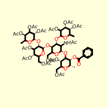 CC(=O)NC1[C@H](OC2[C@@H](OC(C)=O)C(COC(C)=O)O[C@@H](C)[C@H]2OC(=O)c2ccccc2)OC(COC(C)=O)[C@@H](O[C@@H]2OC(COC(C)=O)[C@H](OC(C)=O)C(OC(C)=O)[C@@H]2O[C@@H]2OC(C)[C@@H](OC(C)=O)C(OC(C)=O)[C@@H]2OC(C)=O)[C@@H]1O[C@@H]1OC(C)[C@@H](OC(C)=O)[C@@H](OC(C)=O)C1OC(C)=O